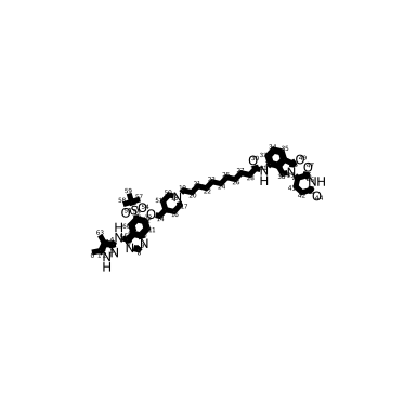 Cc1[nH]nc(Nc2ncnc3cc(OCC4CCN(CCCCCCCCCCC(=O)Nc5cccc6c5CN(C5CCC(=O)NC5=O)C6=O)CC4)c(S(=O)(=O)C(C)(C)C)cc23)c1C